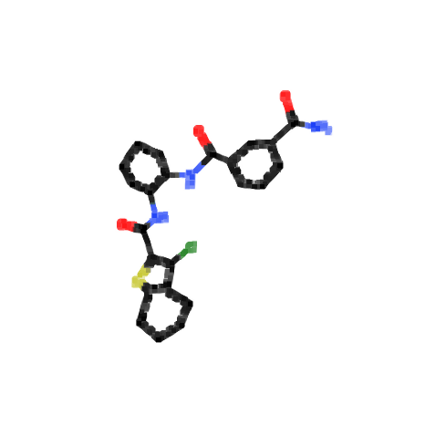 NC(=O)c1cccc(C(=O)Nc2ccccc2NC(=O)c2sc3ccccc3c2Cl)c1